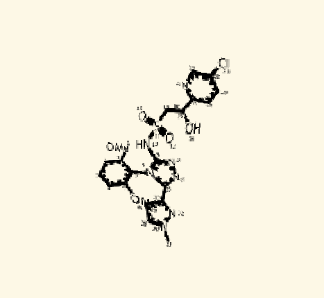 COc1cccc(OC)c1-n1c(NS(=O)(=O)C[C@H](O)c2ccc(Cl)cn2)nnc1-c1ccn(C)n1